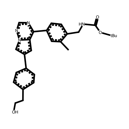 Cc1cc(-c2ncnn3cc(-c4ccc(CCO)cc4)cc23)ccc1CNC(=O)OC(C)(C)C